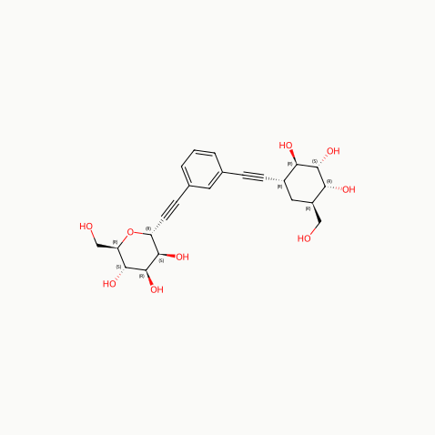 OC[C@H]1C[C@H](C#Cc2cccc(C#C[C@H]3O[C@H](CO)[C@@H](O)[C@H](O)[C@@H]3O)c2)[C@@H](O)[C@H](O)[C@@H]1O